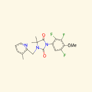 COc1c(F)cc(N2C(=O)N(Cc3ncccc3C)C(C)(C)C2=O)c(F)c1F